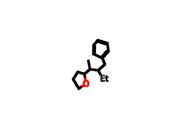 [CH2]CC(Cc1ccccc1)C(C)C1CCCO1